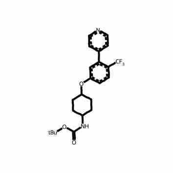 CC(C)(C)OC(=O)NC1CCC(Oc2ccc(C(F)(F)F)c(-c3ccncc3)c2)CC1